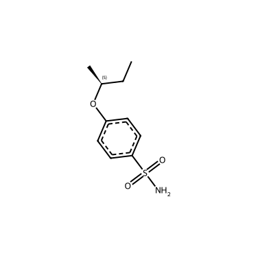 CC[C@H](C)Oc1ccc(S(N)(=O)=O)cc1